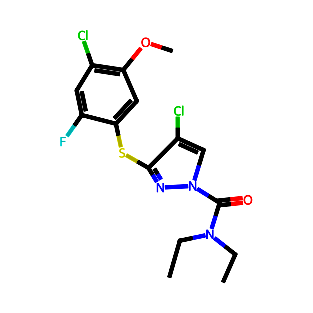 CCN(CC)C(=O)n1cc(Cl)c(Sc2cc(OC)c(Cl)cc2F)n1